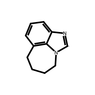 [c]1nc2cccc3c2n1CCCC3